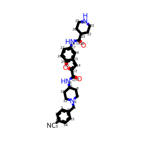 N#Cc1ccc(CN2CCC(NC(=O)c3cc4cc(NC(=O)C5CCNCC5)ccc4o3)CC2)cc1